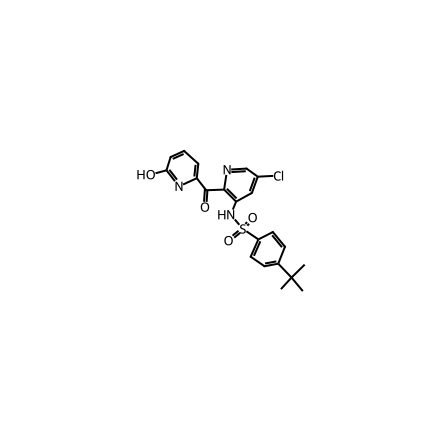 CC(C)(C)c1ccc(S(=O)(=O)Nc2cc(Cl)cnc2C(=O)c2cccc(O)n2)cc1